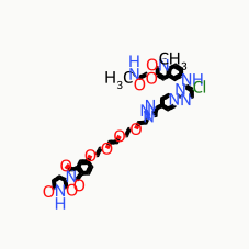 CNC(=O)COc1cc2cc(Nc3nc(N4CCC(c5cn(CCOCCOCCOCCOc6ccc7c(c6)C(=O)N(C6CCC(=O)NC6=O)C7=O)nn5)CC4)ncc3Cl)ccc2n(C)c1=O